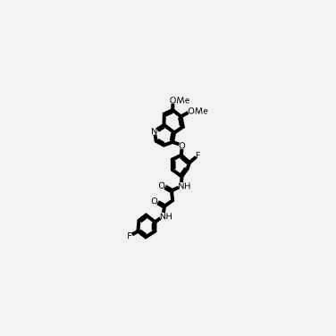 COc1cc2nccc(Oc3ccc(NC(=O)CC(=O)Nc4ccc(F)cc4)cc3F)c2cc1OC